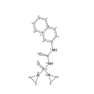 O=C(Nc1ccc2ccccc2c1)NP(=O)(N1CC1)N1CC1